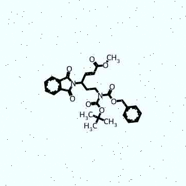 COC(=O)/C=C/C(CCN(C(=O)OCc1ccccc1)C(=O)OC(C)(C)C)N1C(=O)c2ccccc2C1=O